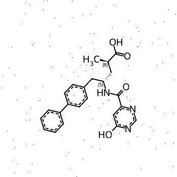 C[C@H](C[C@@H](Cc1ccc(-c2ccccc2)cc1)NC(=O)c1cc(O)ncn1)C(=O)O